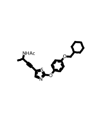 CC(=O)NC(C)C#Cc1cnc(Oc2ccc(OCC3CCCCC3)cc2)s1